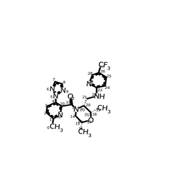 Cc1ccc(-n2nccn2)c(C(=O)N2C[C@@H](C)O[C@@H](C)[C@H]2CNc2ccc(C(F)(F)F)cn2)n1